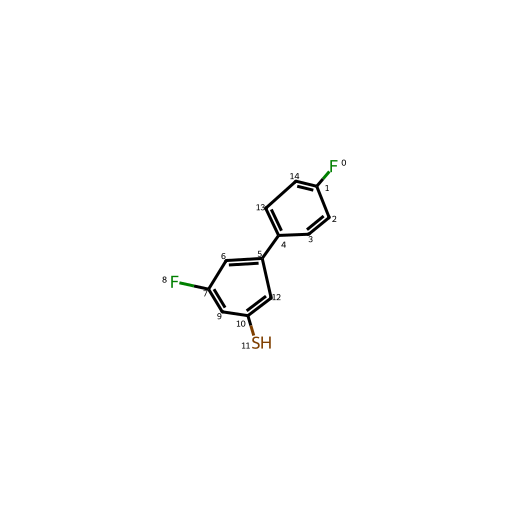 Fc1ccc(-c2cc(F)cc(S)c2)cc1